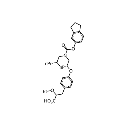 CCCC(CCC)CN(CCOc1ccc(CC(OCC)C(=O)O)cc1)C(=O)Oc1ccc2c(c1)CCC2